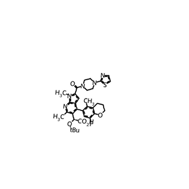 Cc1nc2c(cc(C(=O)N3CCN(c4nccs4)CC3)n2C)c(-c2cc(F)c3c(c2C)CCCO3)c1[C@H](OC(C)(C)C)C(=O)O